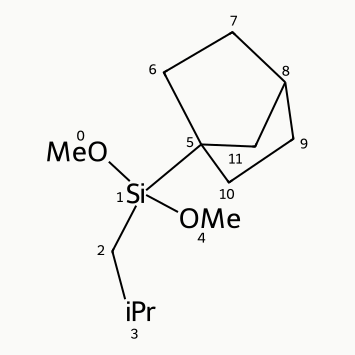 CO[Si](CC(C)C)(OC)C12CCC(CC1)C2